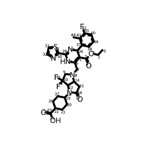 CCOC(=O)C1=C(CN2CC(F)(F)C3C2CC(=O)N3C2CCC(C(=O)O)CC2)NC(c2nccs2)=NC1c1cccc(F)c1C